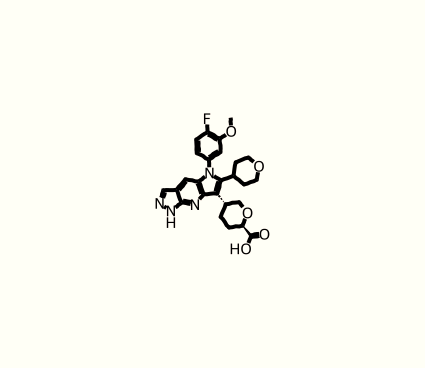 COc1cc(-n2c(C3CCOCC3)c([C@H]3CC[C@H](C(=O)O)OC3)c3nc4[nH]ncc4cc32)ccc1F